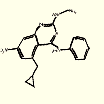 NNc1nc(Nc2ccccc2)c2c(CC3CC3)cc([N+](=O)[O-])cc2n1